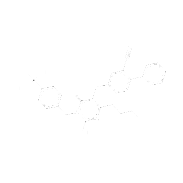 CCCCc1nc(C)n(Cc2ccc(C(C)(C)C)cc2)c(=O)c1Cc1ccc(-c2ccccc2)c(C#N)c1